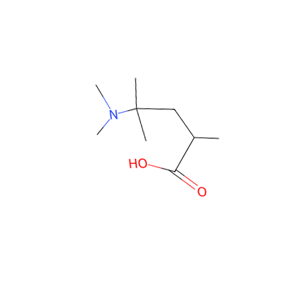 CC(CC(C)(C)N(C)C)C(=O)O